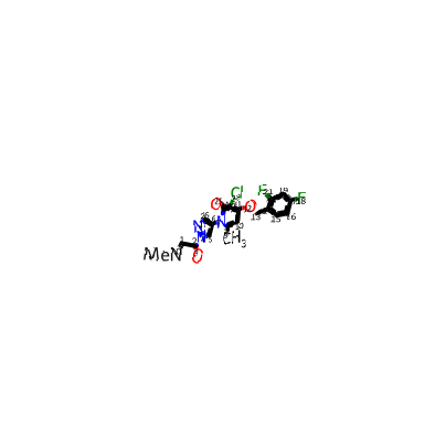 CNCC(=O)n1cc(-n2c(C)cc(OCc3ccc(F)cc3F)c(Cl)c2=O)cn1